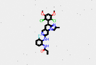 C=CC(=O)Nc1cccc(F)c1Nc1cc2c(cn1)cc(-c1c(Cl)c(OC)cc(OC)c1Cl)c1nc(C)cn12